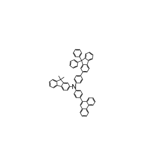 CC1(C)c2ccccc2-c2ccc(N(c3ccc(-c4ccc5c(c4)C(c4ccccc4)(c4ccccc4)c4ccccc4-5)cc3)c3ccc(-c4cc5ccccc5c5ccccc45)cc3)cc21